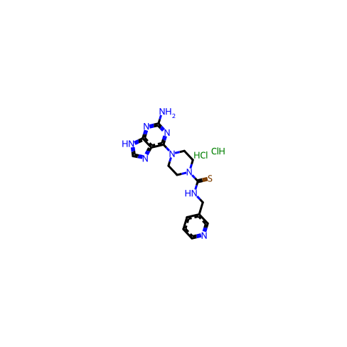 Cl.Cl.Nc1nc(N2CCN(C(=S)NCc3cccnc3)CC2)c2nc[nH]c2n1